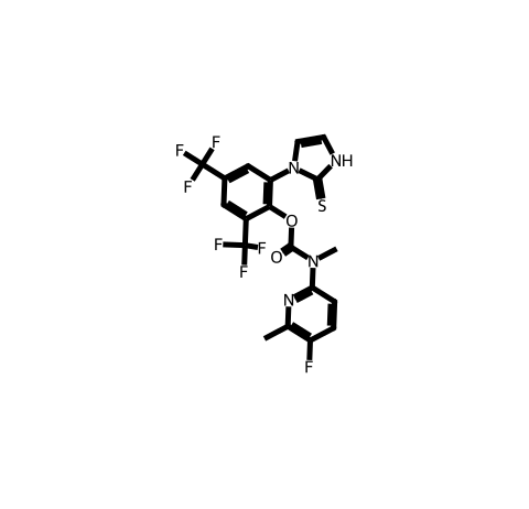 Cc1nc(N(C)C(=O)Oc2c(-n3cc[nH]c3=S)cc(C(F)(F)F)cc2C(F)(F)F)ccc1F